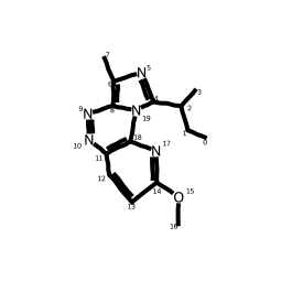 CCC(C)c1nc(C)c2nnc3ccc(OC)nc3n12